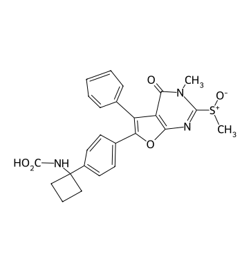 Cn1c([S+](C)[O-])nc2oc(-c3ccc(C4(NC(=O)O)CCC4)cc3)c(-c3ccccc3)c2c1=O